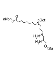 CCCCCCCCCOC(=O)CCCCCCCN(CCCCCCCC)CCCN(N)/C=C(\N)COC(C)(C)C